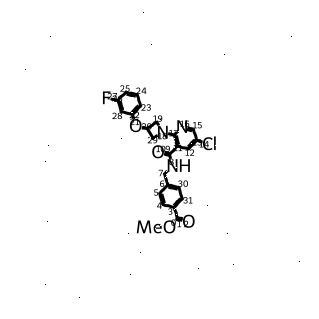 COC(=O)c1ccc(CNC(=O)c2cc(Cl)cnc2N2CC(Oc3cccc(F)c3)C2)cc1